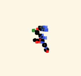 C[C@@H](CN(C=N)N=N)Oc1cc(-c2cnc(Nc3cn([C@H]4CC[C@H](N5CCOCC5)CC4)nc3OCCC3(O)CCC3)nc2)ccc1Cl